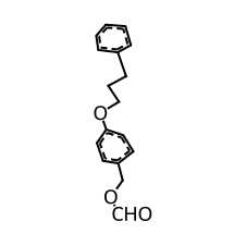 O=COCc1ccc(OCCCc2ccccc2)cc1